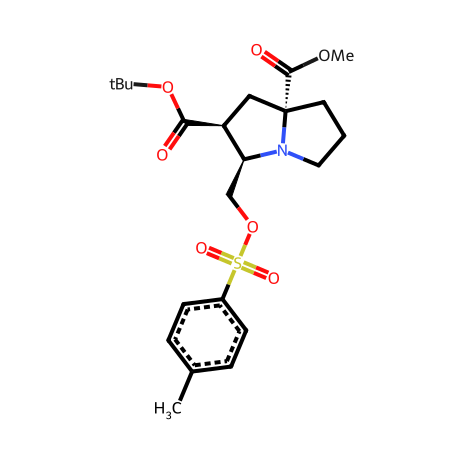 COC(=O)[C@]12CCCN1[C@@H](COS(=O)(=O)c1ccc(C)cc1)[C@@H](C(=O)OC(C)(C)C)C2